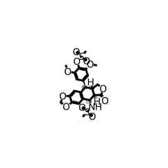 COc1cc([C@@H]2c3cc4c(cc3[C@@H](NS(C)(=O)=O)[C@@H]3C(=O)OC[C@@H]23)OCO4)cc(OC)c1OS(C)(=O)=O